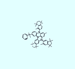 Cc1cc2c3c(c1)N(c1ccc4c(c1C)C(C)(C)CCC4(C)C)c1ccc(C(C)(C)c4ccccc4)cc1B3c1cc3c(cc1N2c1cc2c(cc1C)C(C)(C)CC2(C)C)C(C)(C)CCC3(C)C